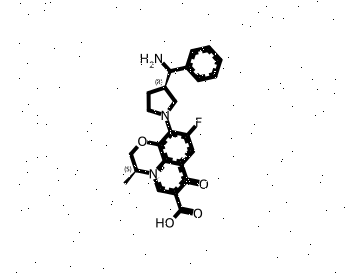 C[C@H]1COc2c(N3CC[C@@H](C(N)c4ccccc4)C3)c(F)cc3c(=O)c(C(=O)O)cn1c23